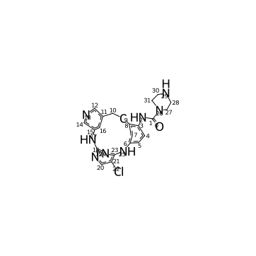 O=C(Nc1ccc2cc1CCc1cncc(c1)Nc1ncc(Cl)c(n1)N2)N1CCNCC1